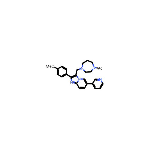 COc1ccc(-c2nc3ccc(-c4cccnc4)cn3c2CN2CCCN(C(C)=O)CC2)cc1